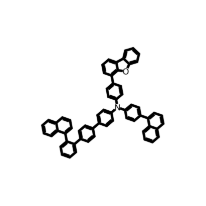 c1ccc(-c2cccc3ccccc23)c(-c2ccc(-c3ccc(N(c4ccc(-c5cccc6ccccc56)cc4)c4ccc(-c5cccc6c5oc5ccccc56)cc4)cc3)cc2)c1